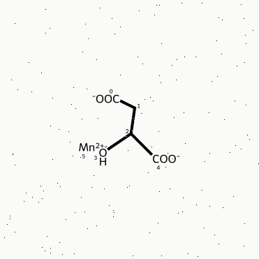 O=C([O-])CC(O)C(=O)[O-].[Mn+2]